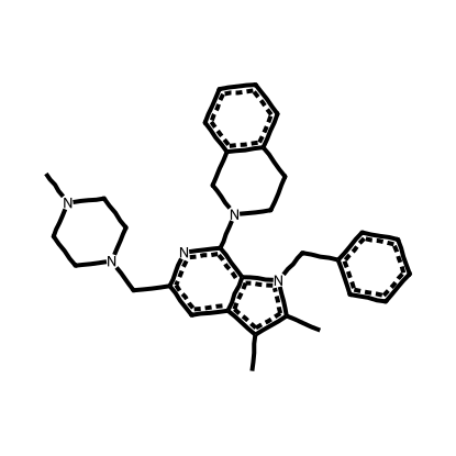 Cc1c(C)n(Cc2ccccc2)c2c(N3CCc4ccccc4C3)nc(CN3CCN(C)CC3)cc12